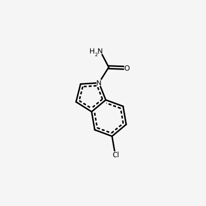 NC(=O)n1ccc2cc(Cl)ccc21